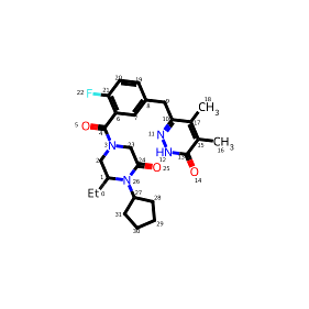 CCC1CN(C(=O)c2cc(Cc3n[nH]c(=O)c(C)c3C)ccc2F)CC(=O)N1C1CCCC1